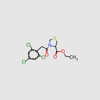 CCOC(=O)C1CSCN1C(=O)Cc1c(Cl)cc(Cl)cc1Cl